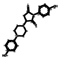 O=C1CC(N2CCN(c3ccc(O)cc3)CC2)C(=O)N1c1ccc(O)cc1